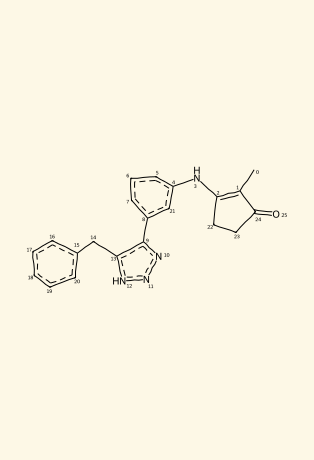 CC1=C(Nc2cccc(-c3nn[nH]c3Cc3ccccc3)c2)CCC1=O